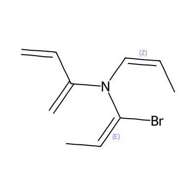 C=CC(=C)N(/C=C\C)/C(Br)=C\C